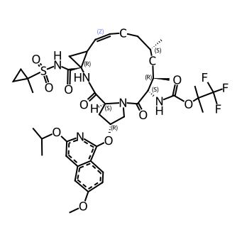 COc1ccc2c(O[C@@H]3C[C@H]4C(=O)N[C@]5(C(=O)NS(=O)(=O)C6(C)CC6)CC5/C=C\CC[C@H](C)C[C@@H](C)[C@H](NC(=O)OC(C)(C)C(F)(F)F)C(=O)N4C3)nc(OC(C)C)cc2c1